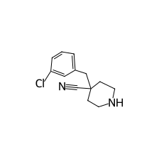 N#CC1(Cc2cccc(Cl)c2)CCNCC1